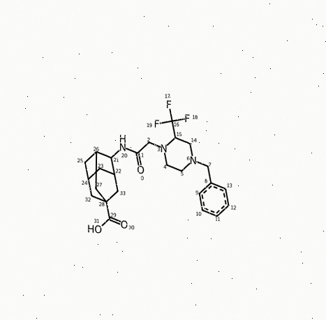 O=C(CN1CCN(Cc2ccccc2)CC1C(F)(F)F)NC1C2CC3CC1CC(C(=O)O)(C3)C2